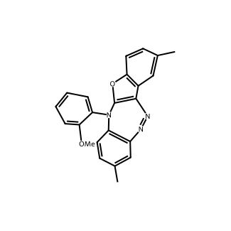 COc1ccccc1N1c2ccc(C)cc2N=Nc2c1oc1ccc(C)cc21